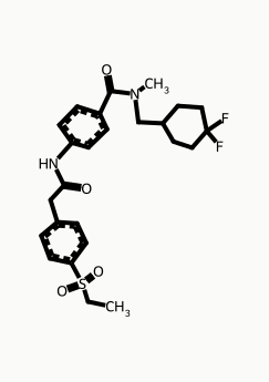 CCS(=O)(=O)c1ccc(CC(=O)Nc2ccc(C(=O)N(C)CC3CCC(F)(F)CC3)cc2)cc1